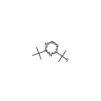 CC(C)(C)c1nccc(C(C)(C)F)n1